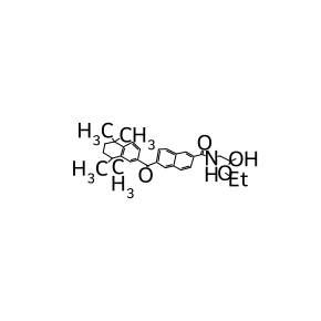 CCOC(O)CNC(=O)c1ccc2cc(C(=O)c3ccc4c(c3)C(C)(C)CCC4(C)C)ccc2c1